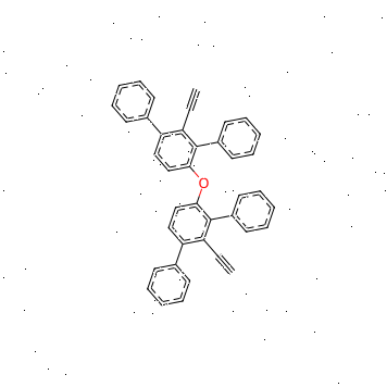 C#Cc1c(-c2ccccc2)ccc(Oc2ccc(-c3ccccc3)c(C#C)c2-c2ccccc2)c1-c1ccccc1